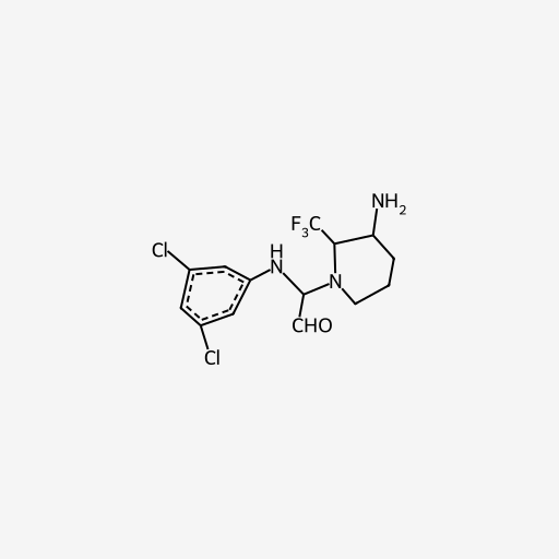 NC1CCCN(C(C=O)Nc2cc(Cl)cc(Cl)c2)C1C(F)(F)F